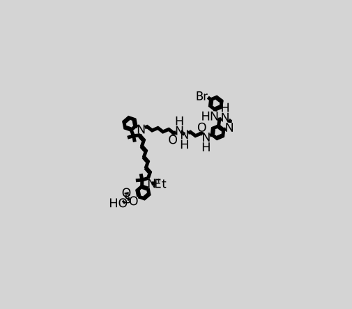 CC[N+]1=C(/C=C/C=C/C=C/C=C2/N(CCCCCC(=O)NNCCC(=O)Nc3ccc4c(c3)C(Nc3cccc(Br)c3)NC=N4)c3ccccc3C2(C)C)C(C)(C)c2cc(OS(=O)O)ccc21